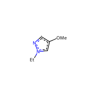 CCn1cc(OC)[c]n1